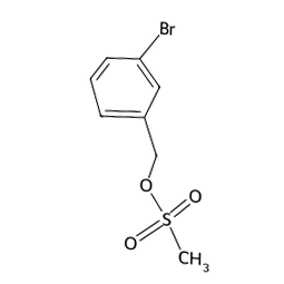 CS(=O)(=O)OCc1cccc(Br)c1